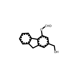 O=[C]Oc1cc(CO)cc2c1-c1ccccc1C2